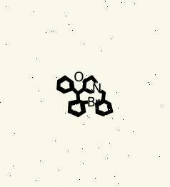 O=C1CCN(Cc2ccccc2)CC1C(c1ccccc1)c1ccccc1Br